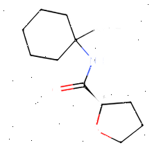 O=C(NC1(C(=O)O)CCCCC1)[C@H]1CCCO1